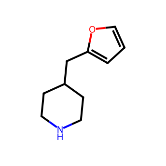 c1coc(CC2CCNCC2)c1